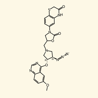 COc1ccc2ncnc(O[C@@H]3CN(CC4CN(c5ccc6c(c5)NC(=O)CS6)C(=O)O4)C[C@H]3N=[N+]=[N-])c2c1